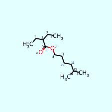 CCC(CC)C(=O)OCCCCC(C)C